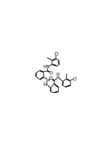 Cc1c(Cl)cccc1NC(=O)c1ccccc1[Se][Se]c1ccccc1C(=O)Nc1cccc(Cl)c1C